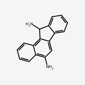 Nc1cc2c(c3ccccc13)C(N)c1ccccc1-2